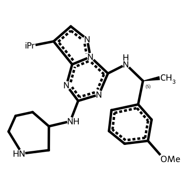 COc1cccc([C@H](C)Nc2nc(NC3CCCNC3)nc3c(C(C)C)cnn23)c1